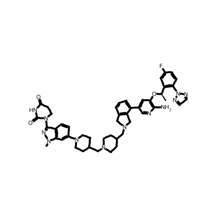 C[C@@H](Oc1cc(-c2cccc3c2CN(CC2CCN(CC4CCN(c5ccc6c(N7CCC(=O)NC7=O)nn(C)c6c5)CC4)CC2)C3)cnc1N)c1cc(F)ccc1-n1nccn1